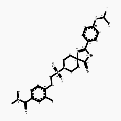 Cc1cc(C(=O)N(C)C)ccc1CCS(=O)(=O)N1CCC2(CC1)N=C(c1ccc(OC(F)F)cc1)NC2=O